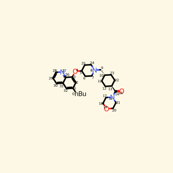 CCCCc1cc(OC2CCN(C[C@H]3CC[C@H](C(=O)N4CCOCC4)CC3)CC2)c2ncccc2c1